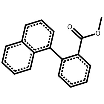 COC(=O)c1ccccc1-c1cccc2ccccc12